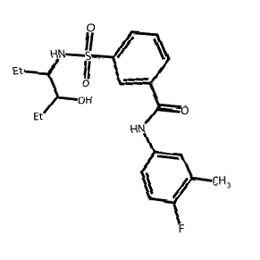 CCC(O)C(CC)NS(=O)(=O)c1cccc(C(=O)Nc2ccc(F)c(C)c2)c1